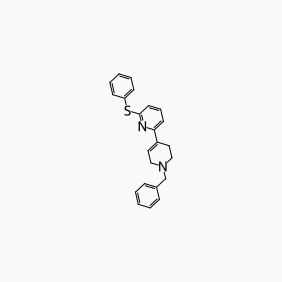 C1=C(c2cccc(Sc3ccccc3)n2)CCN(Cc2ccccc2)C1